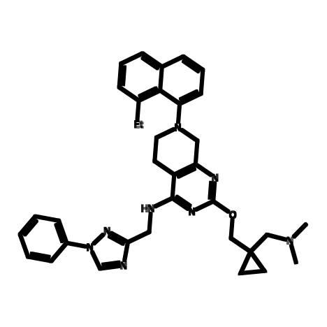 CCc1cccc2cccc(N3CCc4c(nc(OCC5(CN(C)C)CC5)nc4NCc4ncn(-c5ccccc5)n4)C3)c12